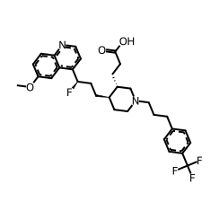 COc1ccc2nccc([C@H](F)CC[C@@H]3CCN(CCCc4ccc(C(F)(F)F)cc4)C[C@H]3CCC(=O)O)c2c1